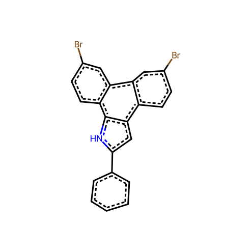 Brc1ccc2c(c1)c1cc(Br)ccc1c1[nH]c(-c3ccccc3)cc21